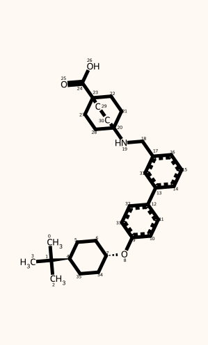 CC(C)(C)[C@H]1CC[C@H](Oc2ccc(-c3cccc(CNC45CCC(C(=O)O)(CC4)CC5)c3)cc2)CC1